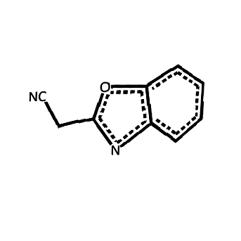 N#CCc1nc2ccccc2o1